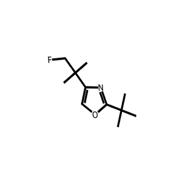 CC(C)(C)c1nc(C(C)(C)CF)co1